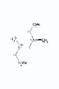 COC[C@H](C)C[C@H](C)COC(C)=O